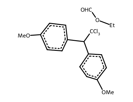 CCOC=O.COc1ccc(C(c2ccc(OC)cc2)C(Cl)(Cl)Cl)cc1